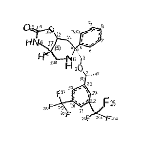 C[C@@H](OC[C@@]1(c2ccccc2)CC2OC(=O)N[C@H]2CN1)c1cc(C(F)(F)F)cc(C(F)(F)F)c1